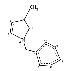 CC1C=CN(Cc2ccccc2)C1